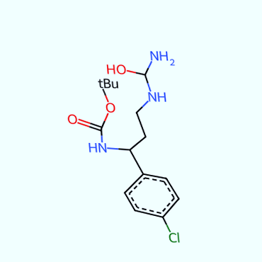 CC(C)(C)OC(=O)NC(CCNC(N)O)c1ccc(Cl)cc1